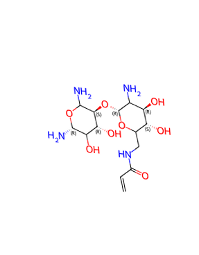 C=CC(=O)NCC1O[C@H](O[C@@H]2C(N)O[C@@H](N)C(O)[C@H]2O)C(N)[C@@H](O)[C@@H]1O